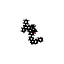 c1ccc(-c2ccc3ccc4ccc(-c5ccc6c(c5)Sc5c(ccc7c(-c8ccccc8)nc8ccccc8c57)C65c6ccccc6-c6ccccc65)nc4c3n2)cc1